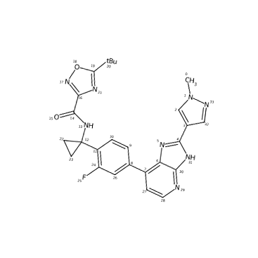 Cn1cc(-c2nc3c(-c4ccc(C5(NC(=O)c6noc(C(C)(C)C)n6)CC5)c(F)c4)ccnc3[nH]2)cn1